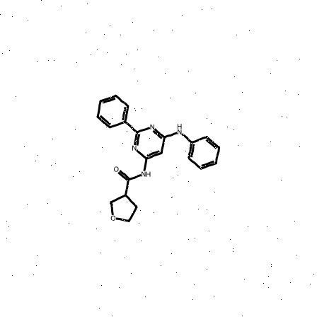 O=C(Nc1cc(Nc2ccccc2)nc(-c2ccccc2)n1)C1CCOC1